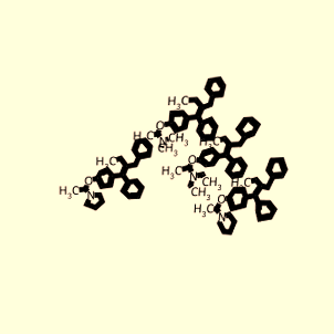 CCC(Cc1ccccc1)=C(c1ccccc1)c1ccc(OC(C)N(C)C)cc1.CCC(Cc1ccccc1)=C(c1ccccc1)c1ccc(OC(C)N(CC)CC)cc1.CCC(Cc1ccccc1)=C(c1ccccc1)c1ccc(OC(C)N2CCCC2)cc1.CCC(Cc1ccccc1)=C(c1ccccc1)c1ccc(OC(C)N2CCCCC2)cc1